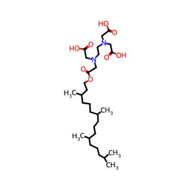 CC(C)CCCC(C)CCCC(C)CCCC(C)CCOC(=O)CN(CCN(CC(=O)O)CC(=O)O)CC(=O)O